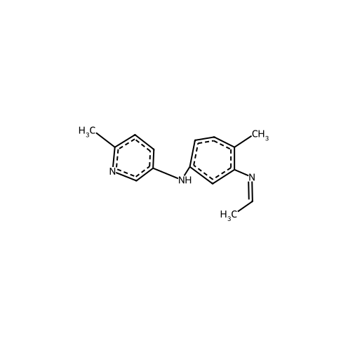 C/C=N\c1cc(Nc2ccc(C)nc2)ccc1C